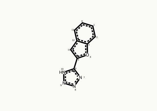 c1ccc2oc(-c3nnn[nH]3)cc2c1